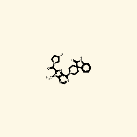 Cn1c(C(=O)N2CC[C@H](F)C2)nc2c(N3CCC4(CC3)C(=O)Nc3ccccc34)ncnc21